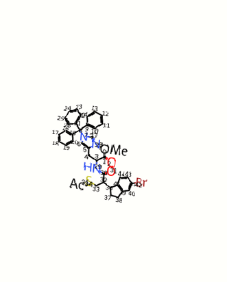 COC(=O)C(Cc1cn(C(c2ccccc2)(c2ccccc2)c2ccccc2)cn1)NC(=O)C(CSC(C)=O)C1CCc2cc(Br)ccc21